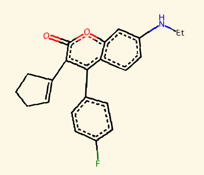 CCNc1ccc2c(-c3ccc(F)cc3)c(C3=CCCC3)c(=O)oc2c1